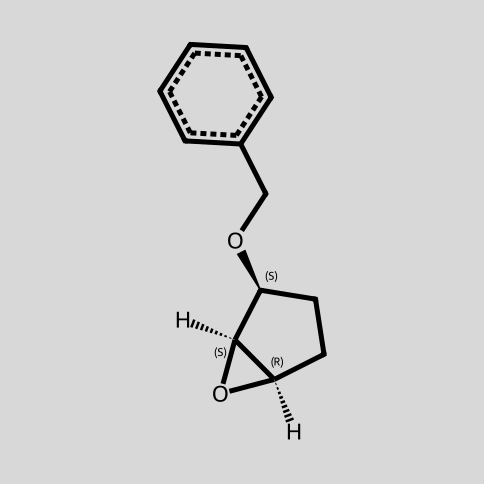 c1ccc(CO[C@H]2CC[C@H]3O[C@@H]23)cc1